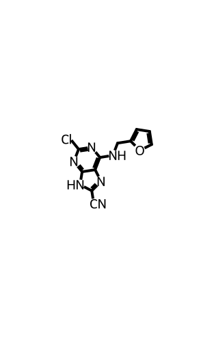 N#Cc1nc2c(NCc3ccco3)nc(Cl)nc2[nH]1